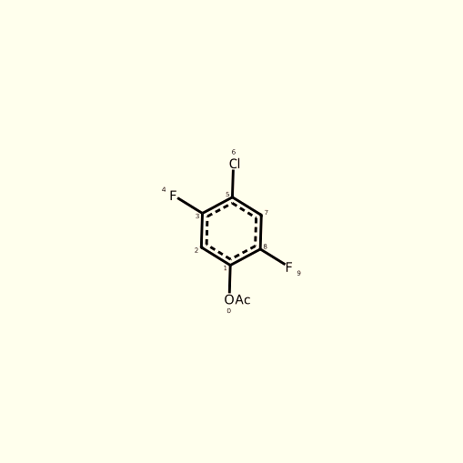 CC(=O)Oc1cc(F)c(Cl)cc1F